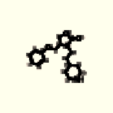 O=C1OCC(COc2ccccc2)N1CCC1CCNCC1